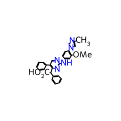 COc1cc(Nc2ncc(-c3ccccc3)c(C(C(=O)O)c3ccccc3)n2)ccc1-n1cnc(C)c1